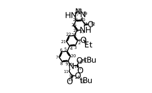 CCOc1cc(-c2cccc(N(CC(=O)OC(C)(C)C)C(=O)OC(C)(C)C)c2)ccc1-c1cc2[nH]nnc2c(=O)[nH]1